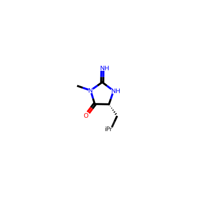 CC(C)C[C@H]1NC(=N)N(C)C1=O